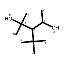 CC(O)C(C(C)(C)C)C(C)(C)O